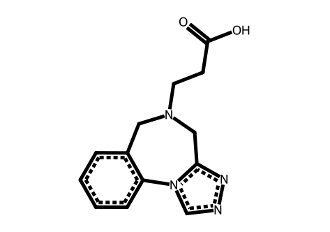 O=C(O)CCN1Cc2ccccc2-n2cnnc2C1